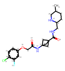 CC1CCC(CNC(=O)C23CC(NC(=O)COc4ccc(Cl)c(F)c4)(C2)C3)NC1